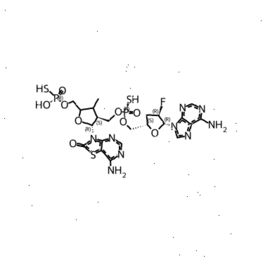 CC1C(CO[P@@](=O)(O)S)O[C@@H](n2c(=O)sc3c(N)ncnc32)[C@@H]1CO[P@@](=O)(S)OC[C@@H]1C[C@@H](F)[C@H](n2cnc3c(N)ncnc32)O1